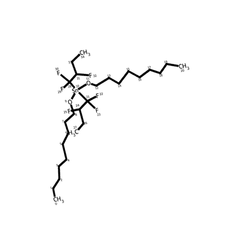 CCCCCCCCC[O][Sn]([O]CCCCCCCCC)([C](F)(F)C(F)CC)[C](F)(F)C(F)CC